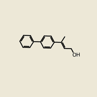 C/C(=C\CO)c1ccc(-c2ccccc2)cc1